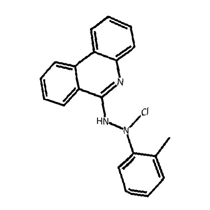 Cc1ccccc1N(Cl)Nc1nc2ccccc2c2ccccc12